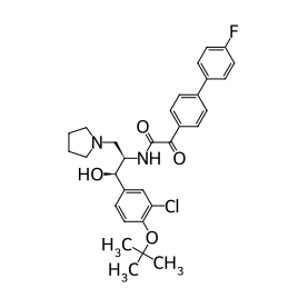 CC(C)(C)Oc1ccc([C@@H](O)[C@@H](CN2CCCC2)NC(=O)C(=O)c2ccc(-c3ccc(F)cc3)cc2)cc1Cl